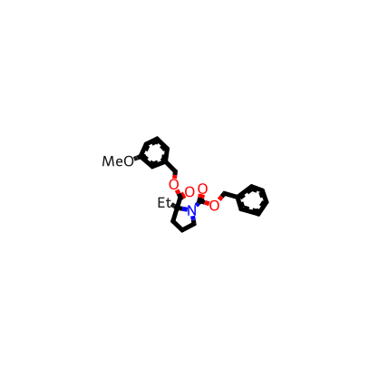 CCC1(C(=O)OCc2cccc(OC)c2)CCCN1C(=O)OCc1ccccc1